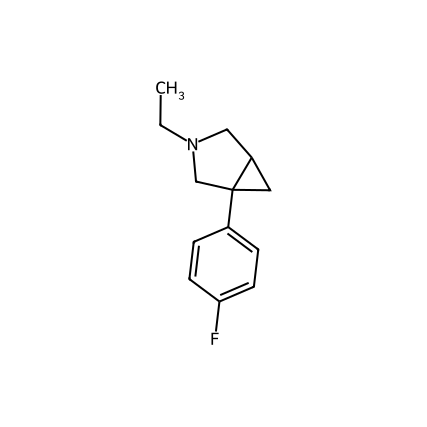 CCN1CC2CC2(c2ccc(F)cc2)C1